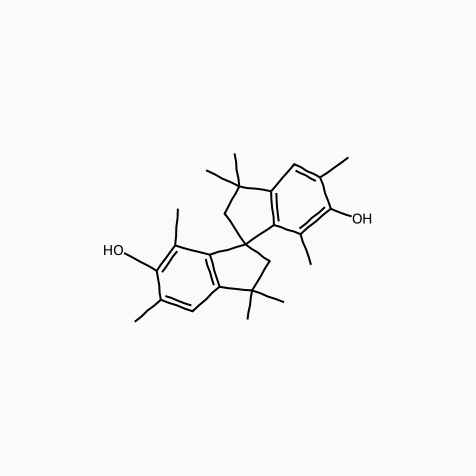 Cc1cc2c(c(C)c1O)C1(CC2(C)C)CC(C)(C)c2cc(C)c(O)c(C)c21